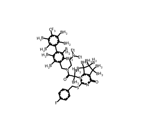 Bc1c(B)c(-c2c(B)c(B)c(C(F)(F)F)c(B)c2B)c(B)c(B)c1CN(CCN(CC)CC)C(=O)C(B)(B)n1c(SCc2ccc(F)cc2)nc(=O)c2c1C(B)(B)C(B)(B)C2(B)B